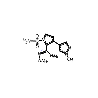 CN/N=C(\NC)c1c(-c2cnn(C)c2)ccn1S(N)(=O)=O